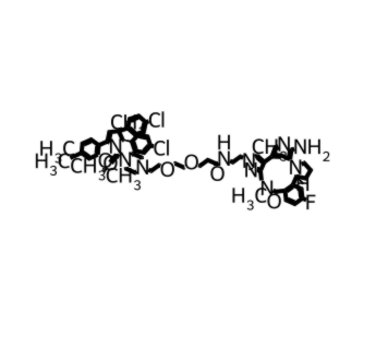 CCOc1cc(C(C)(C)C)ccc1C1=C[C@@](C)(c2ccc(Cl)cc2)[C@@H](c2ccc(Cl)cc2)N1C(=O)N1CCN(CCOCCOCCC(=O)NCCn2nc3c(c2C)-c2cnc(N)c(c2)N2CCC[C@@H]2c2cc(F)ccc2C(=O)N(C)C3)CC1